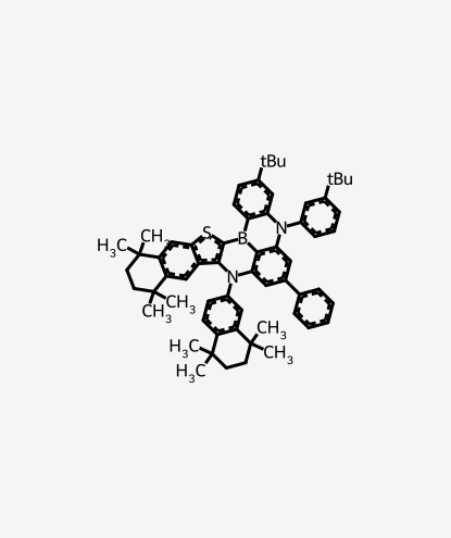 CC(C)(C)c1cccc(N2c3cc(C(C)(C)C)ccc3B3c4sc5cc6c(cc5c4N(c4ccc5c(c4)C(C)(C)CCC5(C)C)c4cc(-c5ccccc5)cc2c43)C(C)(C)CCC6(C)C)c1